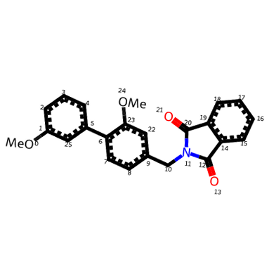 COc1cccc(-c2ccc(CN3C(=O)c4ccccc4C3=O)cc2OC)c1